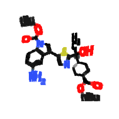 CCCCOC(=O)[C@H]1CC[C@H]([C@@](C)(O)c2ncc(-c3cn(C(=O)OC(C)(C)C)c4ccc(N)cc34)s2)CC1